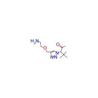 CC(=O)C(n1cc(COCCN)nn1)C(C)(C)C